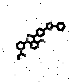 C=CC(=O)N1CCCC(Nc2ncnc(N)c2C(=N)c2ccc(-c3noc(-c4ccccc4)n3)cc2)C1